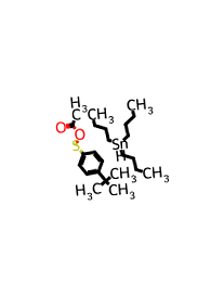 CC(=O)OSc1ccc(C(C)(C)C)cc1.CCC[CH2][SnH]([CH2]CCC)[CH2]CCC